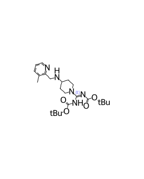 Cc1cccnc1CNC1CCN(/C(=N/C(=O)OC(C)(C)C)NC(=O)OC(C)(C)C)CC1